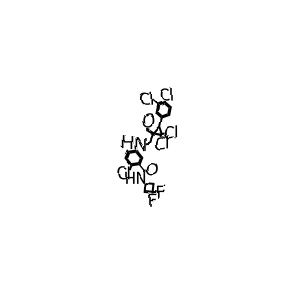 O=CC1(CNc2ccc(Cl)c(C(=O)NC3CC(F)(F)C3)c2)C(c2ccc(Cl)c(Cl)c2)C1(Cl)Cl